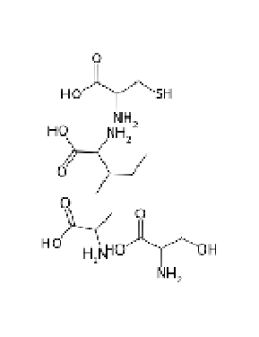 CC(N)C(=O)O.CCC(C)C(N)C(=O)O.NC(CO)C(=O)O.NC(CS)C(=O)O